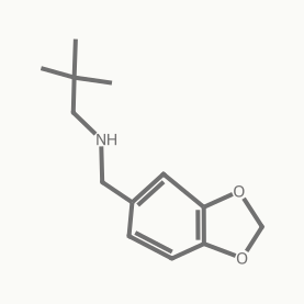 CC(C)(C)CNCc1ccc2c(c1)OCO2